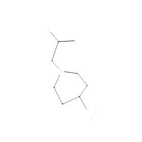 CCC(CC)CN1CCC(C)CC1